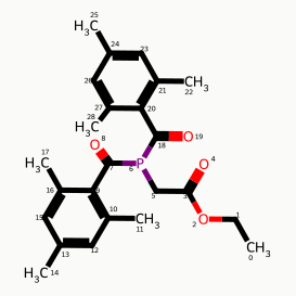 CCOC(=O)CP(C(=O)c1c(C)cc(C)cc1C)C(=O)c1c(C)cc(C)cc1C